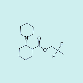 CC(F)(F)COC(=O)C1CCCCC1N1CCCCC1